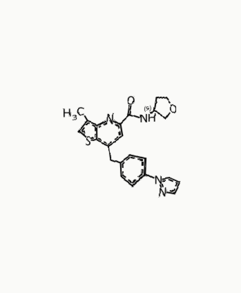 Cc1csc2c(Cc3ccc(-n4cccn4)cc3)cc(C(=O)N[C@H]3CCOC3)nc12